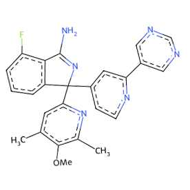 COc1c(C)cc(C2(c3ccnc(-c4cncnc4)c3)N=C(N)c3c(F)cccc32)nc1C